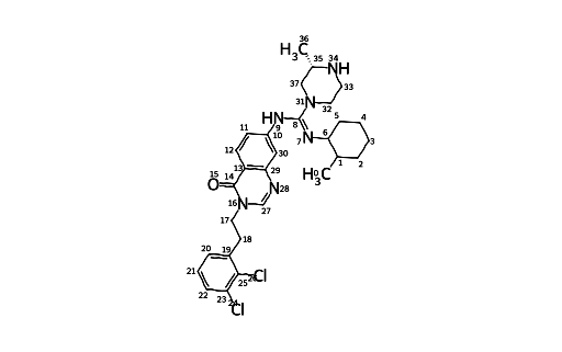 CC1CCCCC1N=C(Nc1ccc2c(=O)n(CCc3cccc(Cl)c3Cl)cnc2c1)N1CCN[C@@H](C)C1